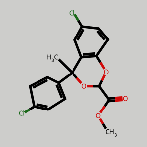 COC(=O)C1Oc2ccc(Cl)cc2C(C)(c2ccc(Cl)cc2)O1